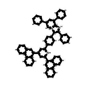 c1ccc(-c2cc(-c3ccccc3)c3nc(-c4ccccc4)c(-c4ccc(-c5cc(-c6cc7ccccc7c7ccccc67)cc(-c6cc7ccccc7c7ccccc67)n5)cc4)n3c2)cc1